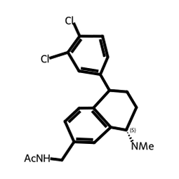 CN[C@H]1CCC(c2ccc(Cl)c(Cl)c2)c2ccc(CNC(C)=O)cc21